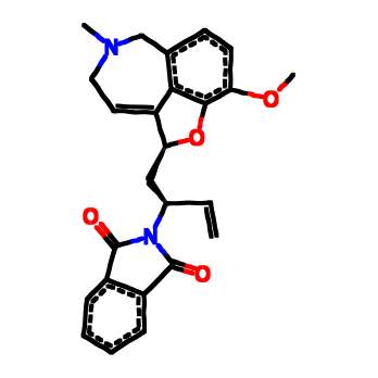 C=C[C@H](C[C@@H]1Oc2c(OC)ccc3c2C1=CCN(C)C3)N1C(=O)c2ccccc2C1=O